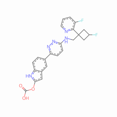 O=C(O)Oc1cc2cc(-c3ccc(NCC4(c5ncccc5F)CC(F)C4)nn3)ccc2[nH]1